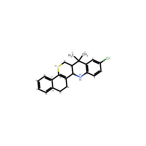 CC1(C)c2cc(Cl)ccc2NC2C3=C(SCC21)c1ccccc1CC3